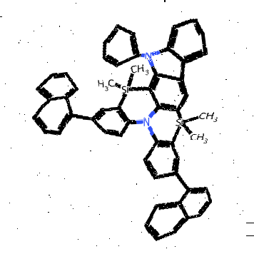 C[Si]1(C)c2cc(-c3cccc4ccccc34)ccc2N2c3ccc(-c4cccc5ccccc45)cc3[Si](C)(C)c3c2c1cc1c2ccccc2n(-c2ccccc2)c31